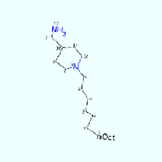 CCCCCCCCCCCCCCN1CCC(CN)CC1